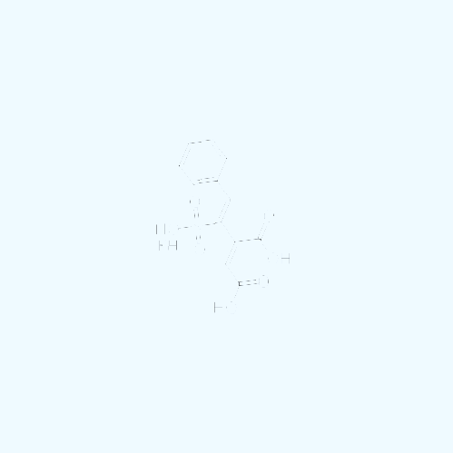 O=C(O)/C=C(\C(=O)O)C(=Cc1ccccc1)S(=O)(=O)O.[KH]